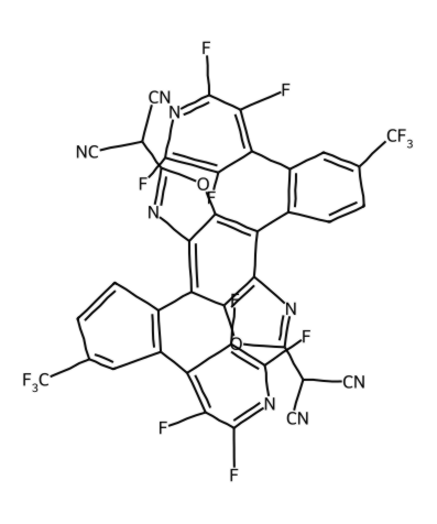 N#CC(C#N)c1nc2c(-c3ccc(C(F)(F)F)cc3-c3c(F)c(F)nc(F)c3F)c3oc(C(C#N)C#N)nc3c(-c3ccc(C(F)(F)F)cc3-c3c(F)c(F)nc(F)c3F)c2o1